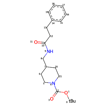 CC(C)(C)OC(=O)N1CCC(CNC(=O)CCc2ccccc2)CC1